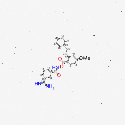 COc1ccc(C(=O)ONC(=O)c2cccc(C(=N)N)c2)c(CCc2ccccc2)c1